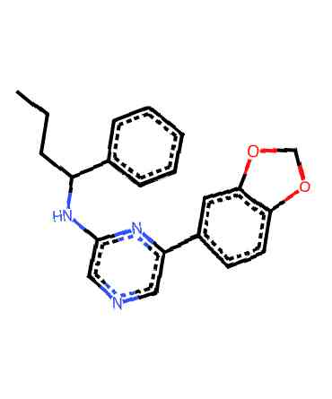 CCCC(Nc1cncc(-c2ccc3c(c2)OCO3)n1)c1ccccc1